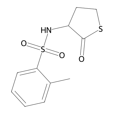 Cc1ccccc1S(=O)(=O)NC1CCSC1=O